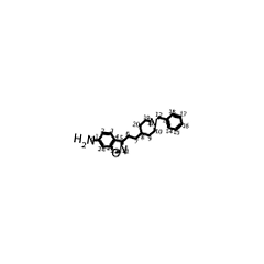 Nc1ccc2c(CCC3CCN(Cc4ccccc4)CC3)noc2c1